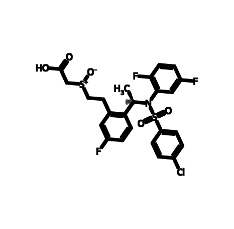 C[C@H](c1ccc(F)cc1CC[S+]([O-])CC(=O)O)N(c1cc(F)ccc1F)S(=O)(=O)c1ccc(Cl)cc1